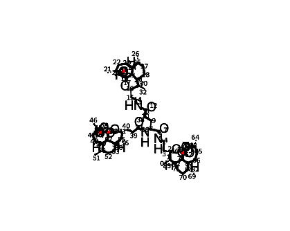 C[C@H]1[C@@H](CCNC(=O)[C@H](CCC(=O)NCC[C@H]2O[C@@H]3O[C@]4(C)CC[C@H]5[C@H](C)CC[C@@](C)([C@H]2C)[C@@]35OO4)NC(=O)CC[C@H]2O[C@@H]3O[C@]4(C)CC[C@H]5[C@H](C)CC[C@@H]([C@H]2C)[C@@]35OO4)O[C@@H]2O[C@]3(C)CC[C@H]4[C@H](C)CC[C@@H]1[C@@]24OO3